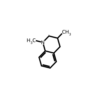 CC1[CH]N(C)c2ccccc2C1